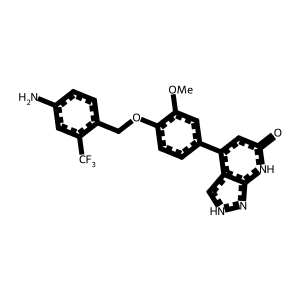 COc1cc(-c2cc(=O)[nH]c3n[nH]cc23)ccc1OCc1ccc(N)cc1C(F)(F)F